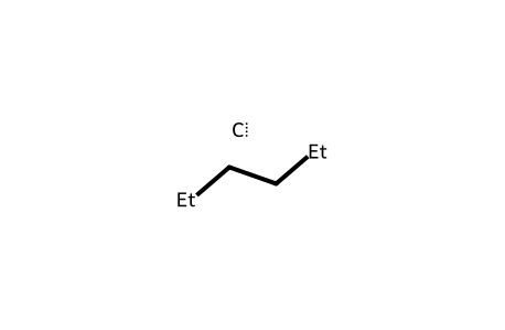 CCCCCC.[C]